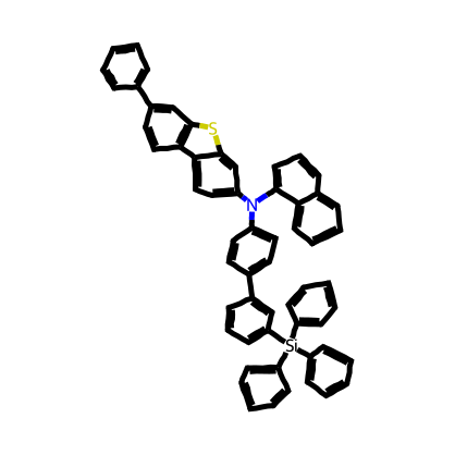 c1ccc(-c2ccc3c(c2)sc2cc(N(c4ccc(-c5cccc([Si](c6ccccc6)(c6ccccc6)c6ccccc6)c5)cc4)c4cccc5ccccc45)ccc23)cc1